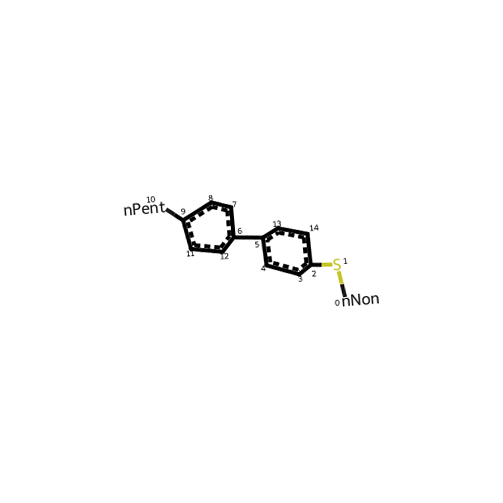 CCCCCCCCCSc1ccc(-c2ccc(CCCCC)cc2)cc1